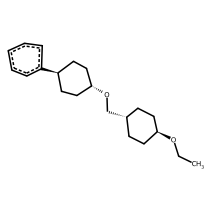 CCO[C@H]1CC[C@H](CO[C@H]2CC[C@H](c3ccccc3)CC2)CC1